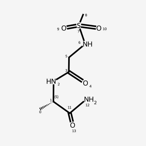 C[C@H](NC(=O)CNS(C)(=O)=O)C(N)=O